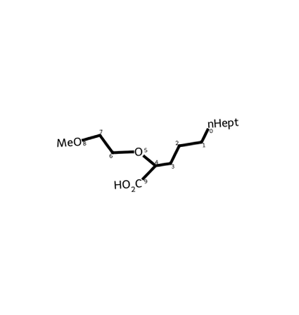 CCCCCCCCCCC(OCCOC)C(=O)O